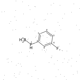 BPc1cccc(F)c1